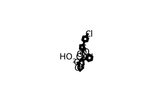 O=C1OCCN1CC1(c2ccccc2)CC1(NS(=O)(=O)c1ccc(-c2ccc(Cl)cc2)s1)C(=O)O